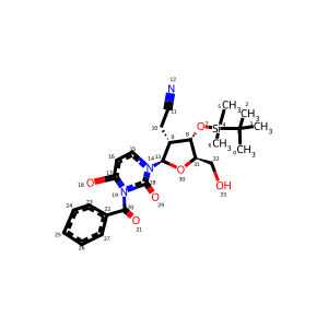 CC(C)(C)[Si](C)(C)O[C@H]1[C@@H](CC#N)[C@H](n2ccc(=O)n(C(=O)c3ccccc3)c2=O)O[C@@H]1CO